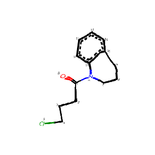 O=C(CCCCl)N1CCCc2ccccc21